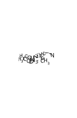 CO[C@H]1CN(C(=O)OC(C)(C)C)CC[C@H]1N1CC(=CC#N)C1